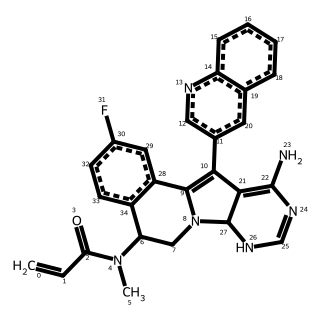 C=CC(=O)N(C)C1CN2C(=C(c3cnc4ccccc4c3)C3=C(N)N=CNC32)c2cc(F)ccc21